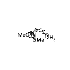 COCc1nnc(NC2CCN(Cc3ccc(OCC4CCN(C)C4)cc3)CC2)c2cc(OC)ccc12